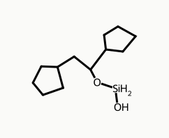 O[SiH2]OC(CC1CCCC1)C1CCCC1